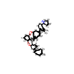 c1ccc(-c2ccc3c(c2)Oc2cccc4c2B3c2ccc(-c3ccc(-c5ccccn5)cc3)cc2O4)cc1